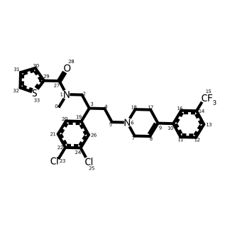 CN(CC(CCN1CC=C(c2cccc(C(F)(F)F)c2)CC1)c1ccc(Cl)c(Cl)c1)C(=O)c1cccs1